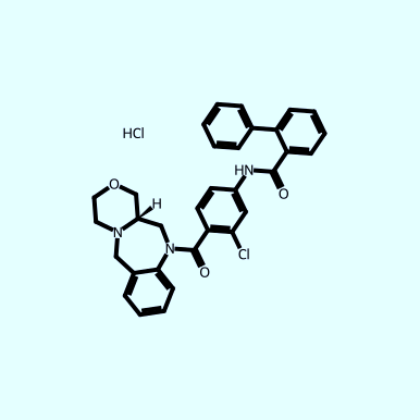 Cl.O=C(Nc1ccc(C(=O)N2C[C@H]3COCCN3Cc3ccccc32)c(Cl)c1)c1ccccc1-c1ccccc1